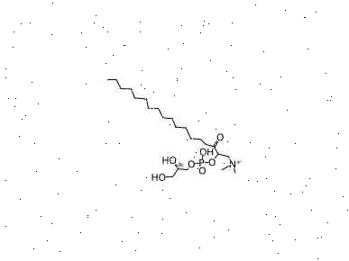 CCCCCCCCCCCCCCCC(=O)C(C[N+](C)(C)C)OP(=O)(O)OC[C@H](O)CO